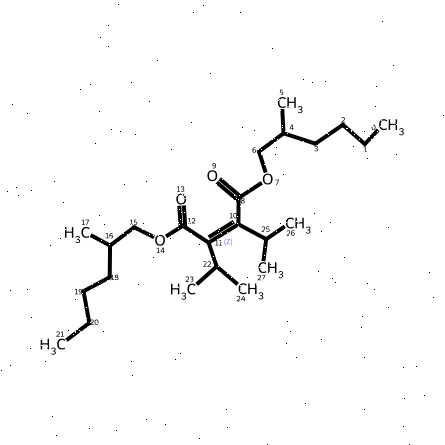 CCCCC(C)COC(=O)/C(=C(\C(=O)OCC(C)CCCC)C(C)C)C(C)C